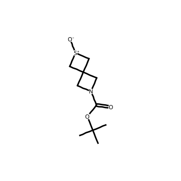 CC(C)(C)OC(=O)N1CC2(C1)C[S+]([O-])C2